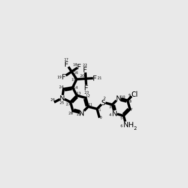 CC(Sc1nc(N)cc(Cl)n1)c1cc2c(C(C(F)(F)F)C(F)(F)F)cn(C)c2cn1